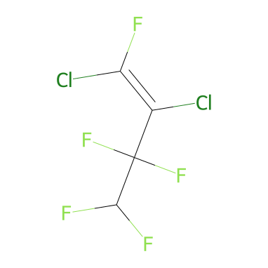 FC(Cl)=C(Cl)C(F)(F)C(F)F